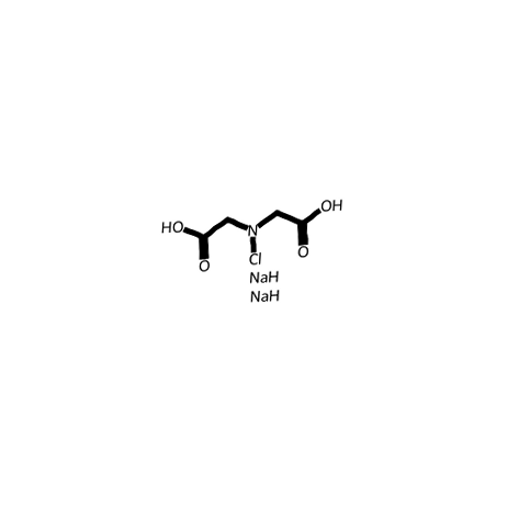 O=C(O)CN(Cl)CC(=O)O.[NaH].[NaH]